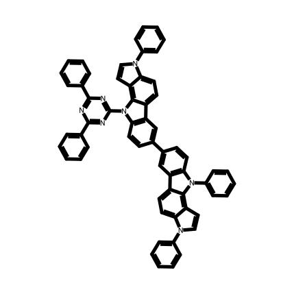 c1ccc(-c2nc(-c3ccccc3)nc(-n3c4ccc(-c5ccc6c(c5)c5ccc7c(ccn7-c7ccccc7)c5n6-c5ccccc5)cc4c4ccc5c(ccn5-c5ccccc5)c43)n2)cc1